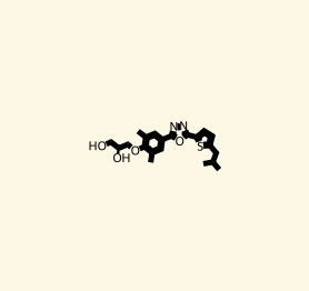 Cc1cc(-c2nnc(-c3ccc(CC(C)C)s3)o2)cc(C)c1OC[C@@H](O)CO